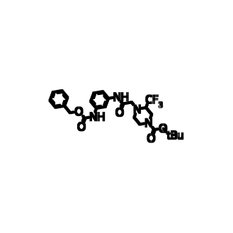 CC(C)(C)OC(=O)N1CCN(CC(=O)Nc2cccc(NC(=O)OCc3ccccc3)c2)C(C(F)(F)F)C1